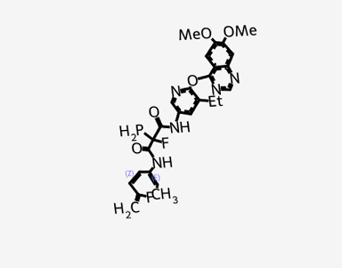 C=C(F)/C=C\C(=C/C)NC(=O)C(F)(P)C(=O)Nc1cnc(Oc2ncnc3cc(OC)c(OC)cc23)c(CC)c1